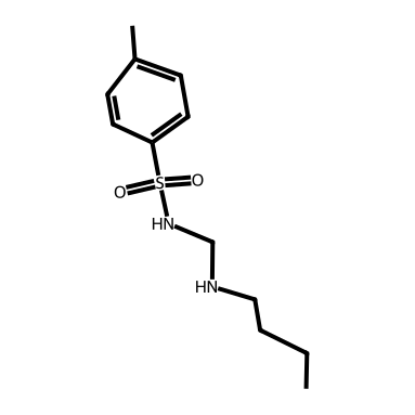 CCCCNCNS(=O)(=O)c1ccc(C)cc1